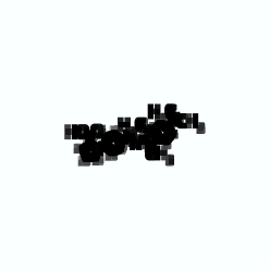 CN(C)c1ccc2c(c1)N(C)C(N=Nc1ccc(N3CCCC3C(=O)O)cc1)N2C